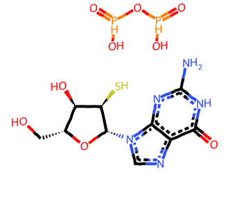 Nc1nc2c(ncn2[C@@H]2O[C@H](CO)[C@@H](O)[C@H]2S)c(=O)[nH]1.O=[PH](O)O[PH](=O)O